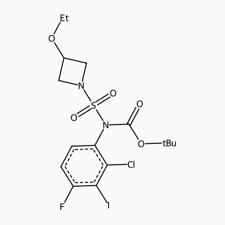 CCOC1CN(S(=O)(=O)N(C(=O)OC(C)(C)C)c2ccc(F)c(I)c2Cl)C1